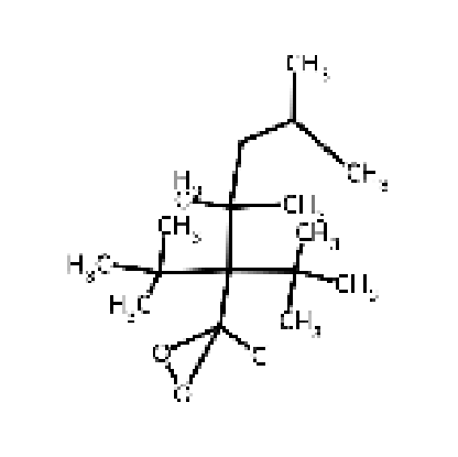 CC(C)CC(C)(C)C(C(C)(C)C)(C(C)(C)C)C1(Cl)OO1